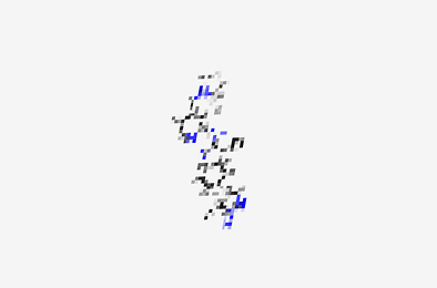 CCC1C(Nc2cc(CN3CCC[C@@H]3C)ccn2)=Nc2ccc(-c3cn[nH]c3C)cc21